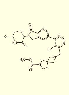 COC(=O)N1CCC2(CN(Cc3ccnc(-c4ccc5c(c4)CN(C4CCC(=O)NC4=O)C5=O)c3F)C2)C1